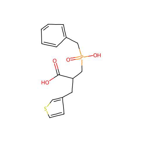 O=C(O)C(Cc1ccsc1)CP(=O)(O)Cc1ccccc1